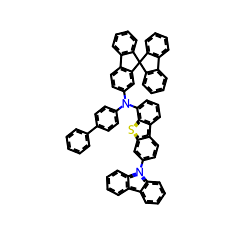 c1ccc(-c2ccc(N(c3ccc4c(c3)C3(c5ccccc5-c5ccccc53)c3ccccc3-4)c3cccc4c3sc3cc(-n5c6ccccc6c6ccccc65)ccc34)cc2)cc1